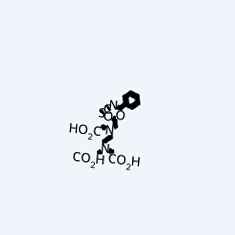 O=C(O)CN(CCN(CC(=O)O)CC(=O)OC(N=C=S)c1ccccc1)CC(=O)O